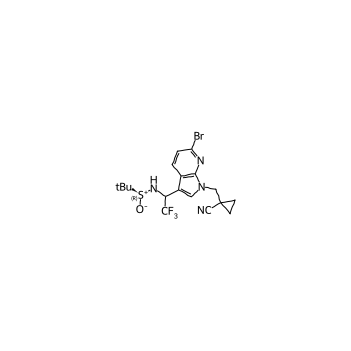 CC(C)(C)[S@+]([O-])NC(c1cn(CC2(C#N)CC2)c2nc(Br)ccc12)C(F)(F)F